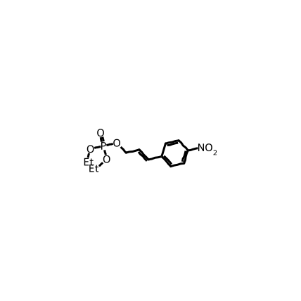 CCOP(=O)(OCC)OCC=Cc1ccc([N+](=O)[O-])cc1